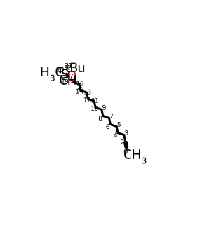 CC#CCCCCCCCCCCCCCCO[Si](C)(C)C(C)(C)C